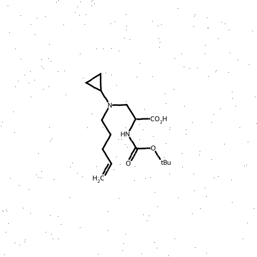 C=CCCCN(CC(NC(=O)OC(C)(C)C)C(=O)O)C1CC1